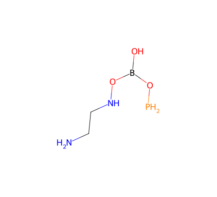 NCCNOB(O)OP